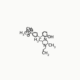 C=CCN1CC(C)N(c2c(O)cccc2Cc2ccc(S(=O)(=O)N(C)C)cc2)CC1C